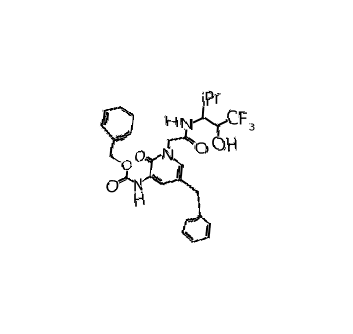 CC(C)C(NC(=O)Cn1cc(Cc2ccccc2)cc(NC(=O)OCc2ccccc2)c1=O)C(O)C(F)(F)F